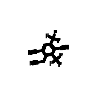 N#CCc1c(C#N)cc(C(F)(F)F)c(C#N)c1C(F)(F)F